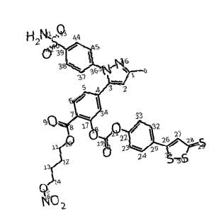 Cc1cc(-c2ccc(C(=O)OCCCCO[N+](=O)[O-])c(OC(=O)Oc3ccc(-c4cc(=S)ss4)cc3)c2)n(-c2ccc(S(N)(=O)=O)cc2)n1